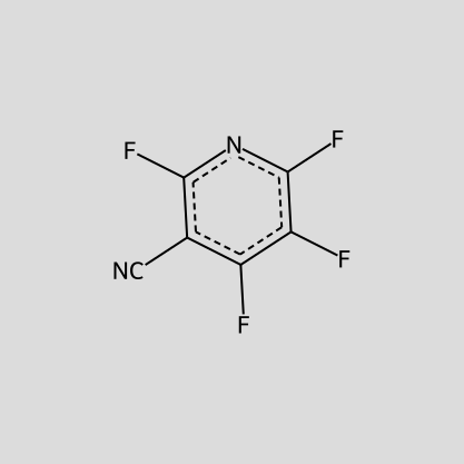 N#Cc1c(F)nc(F)c(F)c1F